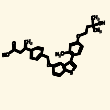 C=C(CC(=O)O)c1ccc(COc2ccc3scc(-c4ccc(OCCC(C)(C)O)cc4C)c3c2)cc1